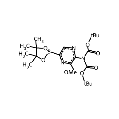 COc1nc(B2OC(C)(C)C(C)(C)O2)cnc1N(C(=O)OC(C)(C)C)C(=O)OC(C)(C)C